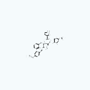 CCOc1ccc(C[C@@H](NC(=O)c2ccno2)C(=O)N[C@@H](Cc2ccccc2)C(=O)NCc2ccc(CN)cc2)cc1